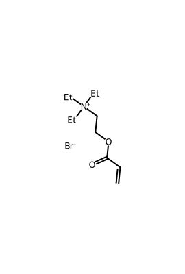 C=CC(=O)OCC[N+](CC)(CC)CC.[Br-]